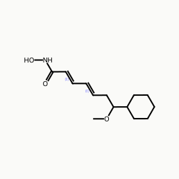 COC(C/C=C/C=C/C(=O)NO)C1CCCCC1